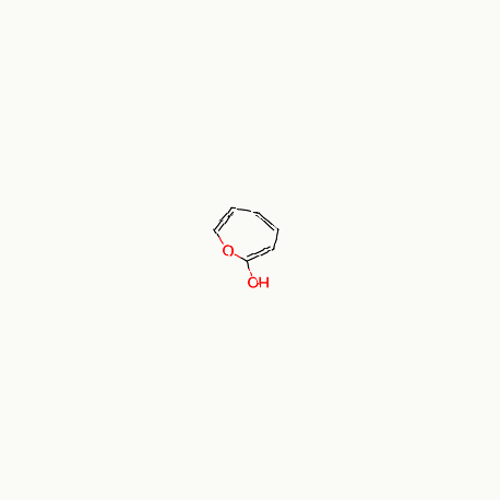 OC1=CC=CC=CO1